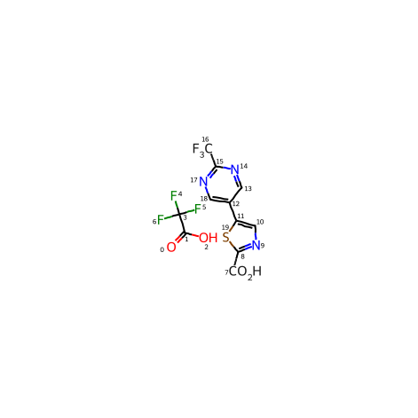 O=C(O)C(F)(F)F.O=C(O)c1ncc(-c2cnc(C(F)(F)F)nc2)s1